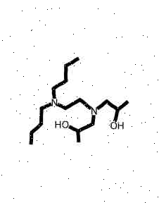 CCCCN(CCCC)CCN(CC(C)O)CC(C)O